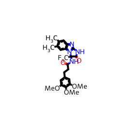 COc1cc(CCC(=O)NC2(C(F)(F)F)C(=O)Nc3nc4cc(C)c(C)cc4n32)cc(OC)c1OC